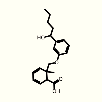 CCCCC(O)c1cccc(OCC2(C)C=CC=CC2C(=O)O)c1